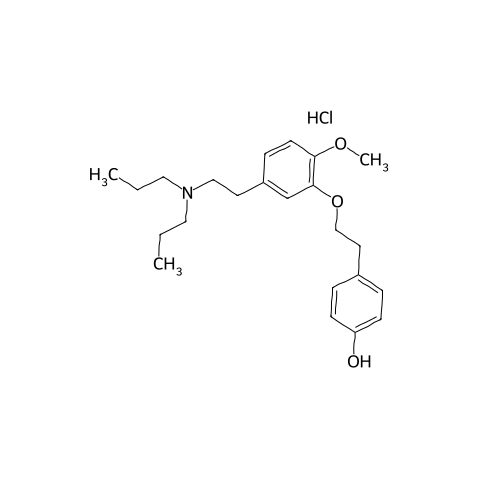 CCCN(CCC)CCc1ccc(OC)c(OCCc2ccc(O)cc2)c1.Cl